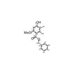 COc1cc(O)c(C)c(C)c1C(=O)OCc1ccccc1